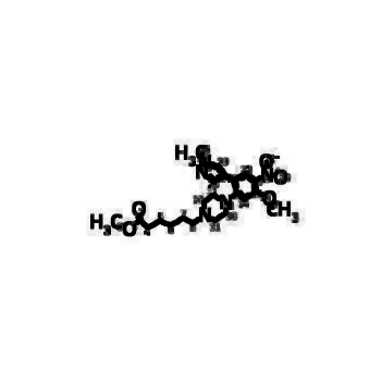 COC(=O)CCCCCN1CCN(c2cc(OC)c([N+](=O)[O-])cc2-c2cnn(C)c2)CC1